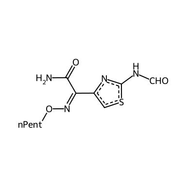 CCCCCON=C(C(N)=O)c1csc(NC=O)n1